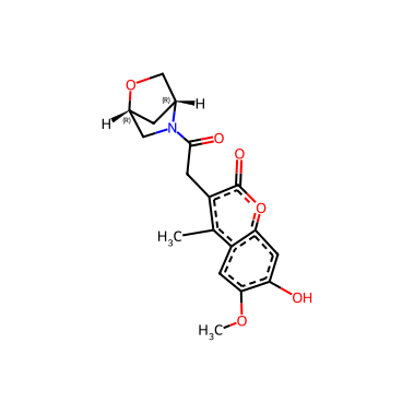 COc1cc2c(C)c(CC(=O)N3C[C@H]4C[C@@H]3CO4)c(=O)oc2cc1O